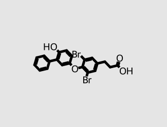 O=C(O)CCc1cc(Br)c(Oc2ccc(O)c(-c3ccccc3)c2)c(Br)c1